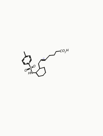 Cc1ccc(S(=O)(=O)NC2CCCCC2C/C=C/CCCC(=O)O)cc1